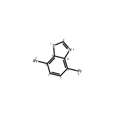 CC(C)c1ccc(C(C)C)c2scnc12